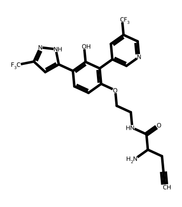 C#CCC(N)C(=O)NCCOc1ccc(-c2cc(C(F)(F)F)n[nH]2)c(O)c1-c1cncc(C(F)(F)F)c1